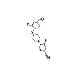 N#Cc1ccc(N2CCC(Sc3ccc(C=O)cc3F)CC2)c(F)c1